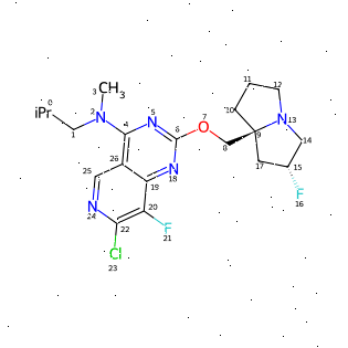 CC(C)CN(C)c1nc(OC[C@@]23CCCN2C[C@H](F)C3)nc2c(F)c(Cl)ncc12